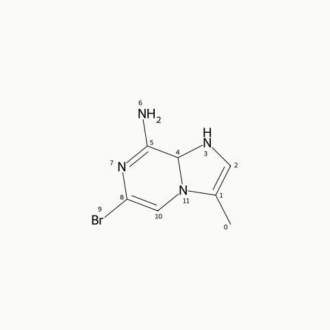 CC1=CNC2C(N)=NC(Br)=CN12